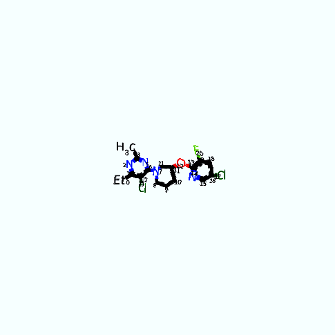 CCc1nc(C)nc(N2CCCC(Oc3ncc(Cl)cc3F)C2)c1Cl